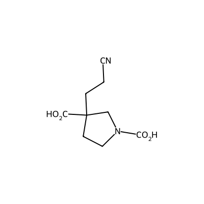 N#CCCC1(C(=O)O)CCN(C(=O)O)C1